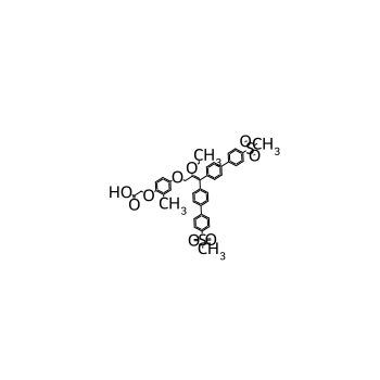 CCOC(COc1ccc(OCC(=O)O)c(C)c1)=C(c1ccc(-c2ccc(S(C)(=O)=O)cc2)cc1)c1ccc(-c2ccc(S(C)(=O)=O)cc2)cc1